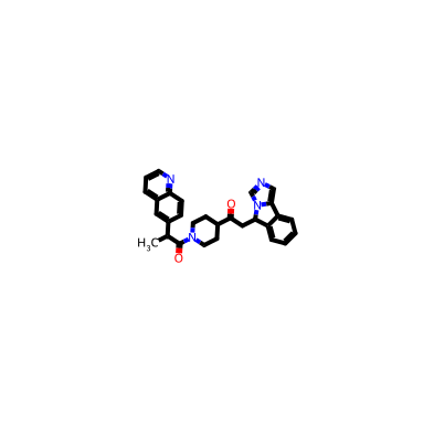 C[C](C(=O)N1CCC(C(=O)CC2c3ccccc3-c3cncn32)CC1)c1ccc2ncccc2c1